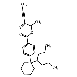 CC#CC(=O)C(C)OC(=O)c1ccc(C2(C(CCC)CCC)CCCCC2)cc1